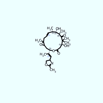 CC1=NC(/C=C(\C)[C@@H]2CC3OC3(C)C/C=C/[C@H](C)[C@H](O)[C@@H](C)C(=O)C(C)(C)[C@@H](O)CC(=O)O2)CO1